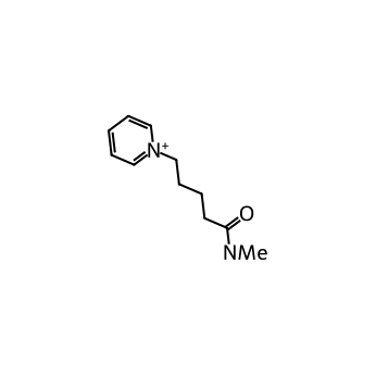 CNC(=O)CCCC[n+]1ccccc1